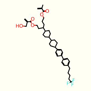 C=C(C)C(=O)OCCCC(CCOC(=O)C(=C)CO)C1CCC(C2CCC(c3ccc(-c4ccc(CCCCC(F)(F)F)cc4)cc3)CC2)CC1